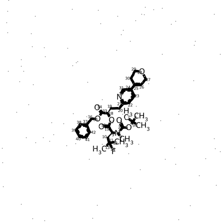 CN(C(=O)OC(C)(C)C)[C@@H](CC(C)(C)F)C(=O)O[C@H](CCc1ccc(C2=CCOCC2)cn1)C(=O)OCc1ccccc1